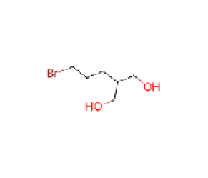 OCC(CO)CCCBr